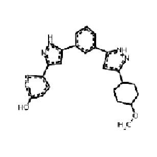 COC1CCC(c2cc(-c3cccc(-c4cc(-c5ccc(O)cc5)n[nH]4)c3)[nH]n2)CC1